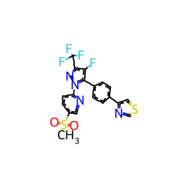 CS(=O)(=O)c1ccc(-n2nc(C(F)(F)F)c(F)c2-c2ccc(-c3cscn3)cc2)nc1